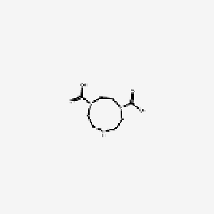 O=C(O)N1CCNCCN(C(=O)O)CC1